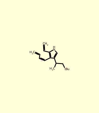 C=C/C=C\c1c(C(C)CC(C)(C)C)c[nH]c1C=C